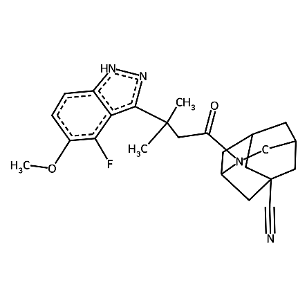 COc1ccc2[nH]nc(C(C)(C)CC(=O)N3CC4CC5CC3CC(C#N)(C5)C4)c2c1F